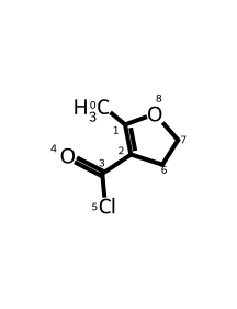 CC1=C(C(=O)Cl)CCO1